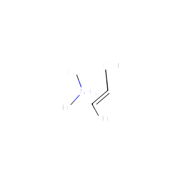 CC(C)NC(C)C.CCC/C=C/C(=O)O